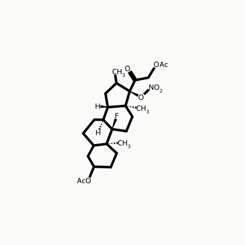 CC(=O)OCC(=O)[C@@]1(O[N+](=O)[O-])C(C)C[C@H]2[C@@H]3CCC4CC(OC(C)=O)CC[C@]4(C)[C@@]3(F)CC[C@@]21C